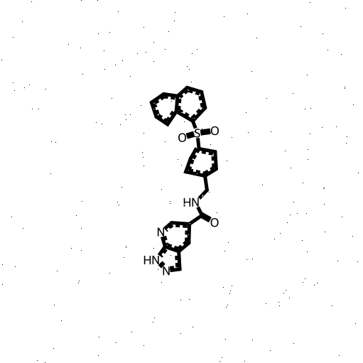 O=C(NCc1ccc(S(=O)(=O)c2cccc3ccccc23)cc1)c1cnc2[nH]ncc2c1